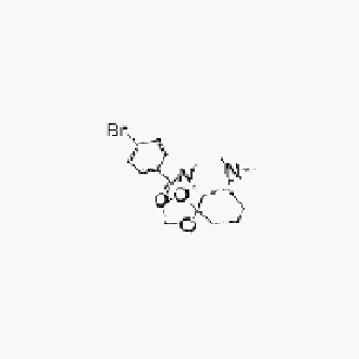 CN(C)[C@H]1CCCC2(OCCO2)[C@@H]1N(C)C(=O)c1ccc(Br)cc1